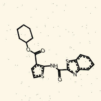 O=C(Nc1sccc1C(=O)OC1CCCCC1)c1nc2ccccc2s1